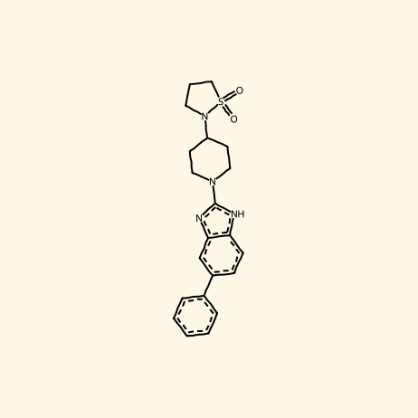 O=S1(=O)CCCN1C1CCN(c2nc3cc(-c4ccccc4)ccc3[nH]2)CC1